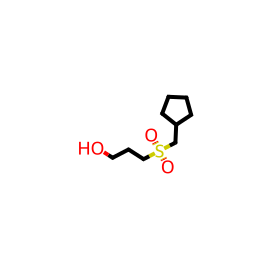 O=S(=O)(CCCO)CC1CCCC1